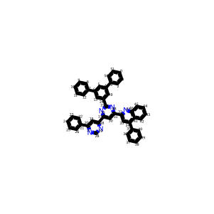 c1ccc(-c2cc(-c3ccccc3)cc(-c3nc(-c4cc(-c5ccccc5)ncn4)cc(-c4cc(-c5ccccc5)c5ccccc5n4)n3)c2)cc1